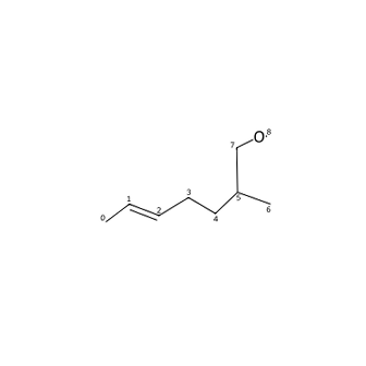 CC=CCCC(C)C[O]